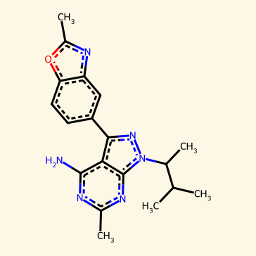 Cc1nc(N)c2c(-c3ccc4oc(C)nc4c3)nn(C(C)C(C)C)c2n1